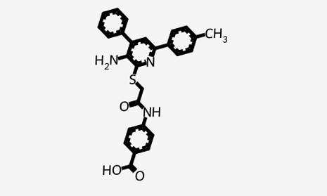 Cc1ccc(-c2cc(-c3ccccc3)c(N)c(SCC(=O)Nc3ccc(C(=O)O)cc3)n2)cc1